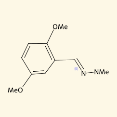 CN/N=C/c1cc(OC)ccc1OC